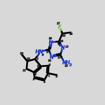 Cc1ccc2c(c1)C(Nc1nc(N)nc(C(C)F)n1)C(C)C2